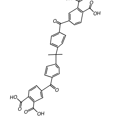 CC(C)(c1ccc(C(=O)c2ccc(C(=O)O)c(C(=O)O)c2)cc1)c1ccc(C(=O)c2ccc(C(=O)O)c(C(=O)O)c2)cc1